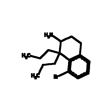 CCCC1(CCC)c2c(Br)cccc2CCC1N